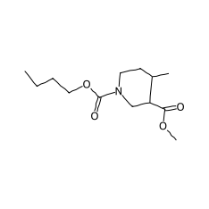 CCCCOC(=O)N1CCC(C)C(C(=O)OC)C1